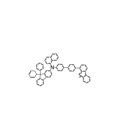 C1=CCC(C2(c3ccccc3)c3ccccc3-c3ccc(N(c4ccc(-c5ccc(-c6cccc7c6sc6ccccc67)cc5)cc4)c4cccc5ccccc45)cc32)C=C1